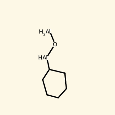 [AlH2][O][AlH][CH]1CCCCC1